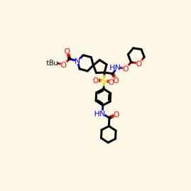 CC(C)(C)OC(=O)N1CCC2(CC1)CCC(C(=O)NOC1CCCCO1)(S(=O)(=O)c1ccc(NC(=O)C3CCCCC3)cc1)C2